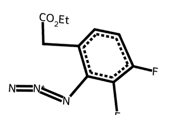 CCOC(=O)Cc1ccc(F)c(F)c1N=[N+]=[N-]